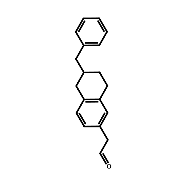 O=CCc1ccc2c(c1)CCC(Cc1ccccc1)C2